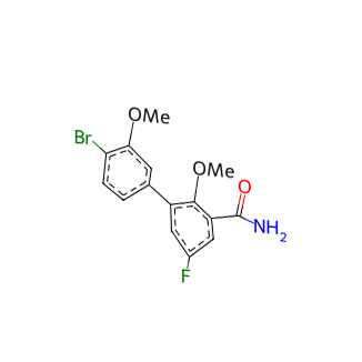 COc1cc(-c2cc(F)cc(C(N)=O)c2OC)ccc1Br